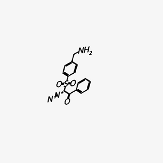 [N-]=[N+]=C(C(=O)c1ccccc1)S(=O)(=O)c1ccc(CN)cc1